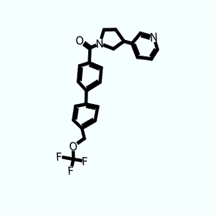 O=C(c1ccc(-c2ccc(COC(F)(F)F)cc2)cc1)N1CCC(c2cccnc2)C1